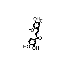 COc1cc(O)c(Cl)cc1/C=C/C(=O)c1ccc(O)c(O)c1